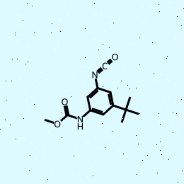 COC(=O)Nc1cc(N=C=O)cc(C(C)(C)C)c1